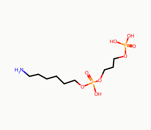 NCCCCCCOP(=O)(O)OCCCOP(=O)(O)O